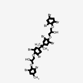 Cc1cc(Br)c(OCC(O)COc2c(Br)cc(C(C)(C)c3cc(Br)c(OCC(O)COc4c(Br)cc(Br)cc4Br)c(Br)c3)cc2Br)c(Br)c1